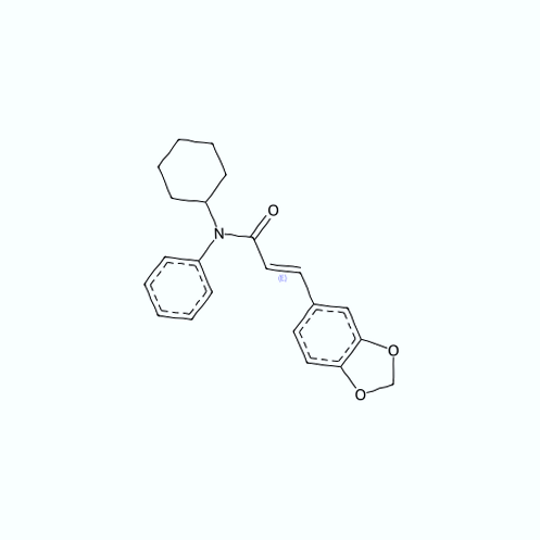 O=C(/C=C/c1ccc2c(c1)OCO2)N(c1ccccc1)C1CCCCC1